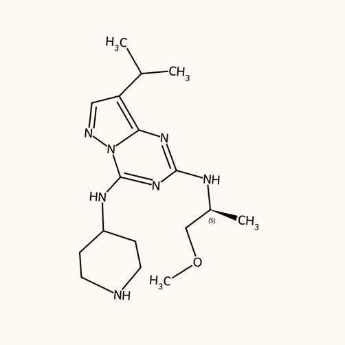 COC[C@H](C)Nc1nc(NC2CCNCC2)n2ncc(C(C)C)c2n1